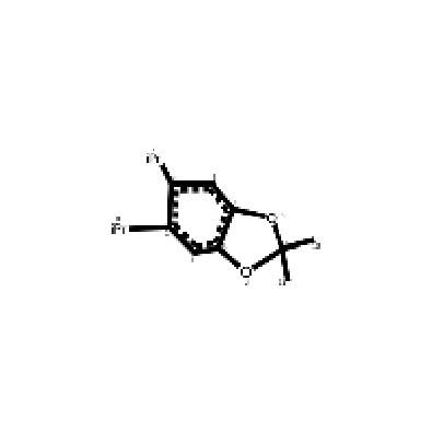 CC(C)c1cc2c(cc1C(C)C)OC(C)(C)O2